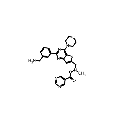 CN(Cc1cc2nc(-c3cccc(CN)c3)nc(N3CCOCC3)c2s1)OC(=O)c1cncnc1